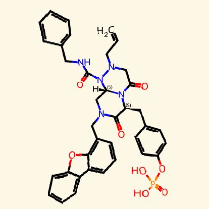 C=CCN1CC(=O)N2[C@@H](Cc3ccc(OP(=O)(O)O)cc3)C(=O)N(Cc3cccc4c3oc3ccccc34)C[C@@H]2N1C(=O)NCc1ccccc1